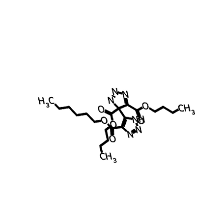 CCCCCCOC(=O)c1nn[nH]c1C1(C(=O)OCCCC)N=NN=C1C(=O)OCCCC